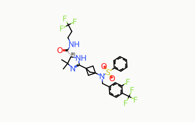 CC1(C)N=C(C23CC(N(Cc4ccc(C(F)(F)F)c(F)c4)S(=O)(=O)c4ccccc4)(C2)C3)N[C@H]1C(=O)NCCC(F)(F)F